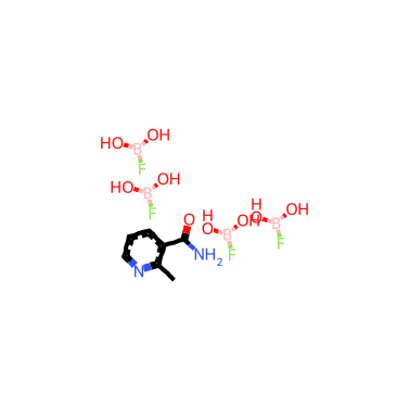 Cc1ncccc1C(N)=O.OB(O)F.OB(O)F.OB(O)F.OB(O)F